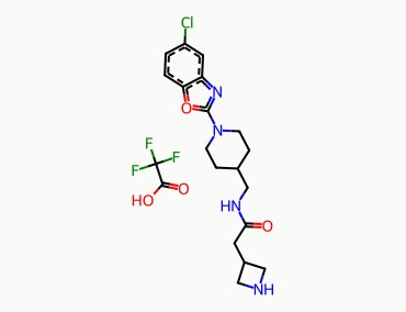 O=C(CC1CNC1)NCC1CCN(c2nc3cc(Cl)ccc3o2)CC1.O=C(O)C(F)(F)F